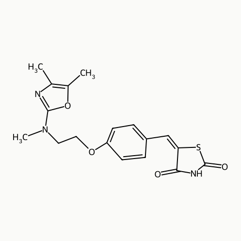 Cc1nc(N(C)CCOc2ccc(/C=C3/SC(=O)NC3=O)cc2)oc1C